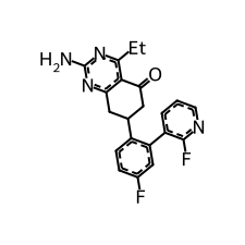 CCc1nc(N)nc2c1C(=O)CC(c1ccc(F)cc1-c1cccnc1F)C2